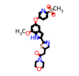 COc1cc(Oc2ccc(S(C)(=O)=O)nc2)cc2cc(C3=NCC(CC(=O)N4CCOCC4)S3)[nH]c12